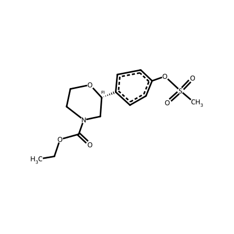 CCOC(=O)N1CCO[C@H](c2ccc(OS(C)(=O)=O)cc2)C1